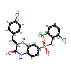 O=C1Nc2ccc(S(=O)(=O)Cc3c(Cl)cccc3Cl)cc2S/C1=C\c1ccc(Cl)cc1